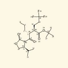 CCC[C@@H](C(=O)N1C(=O)OC[C@@H]1C(C)C)[C@@H](CCC(F)(F)F)C(=O)OC(C)(C)C